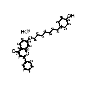 Cl.O=c1cc(-c2ccccc2)oc2cc(OCCCCCCCN3CCC(O)CC3)ccc12